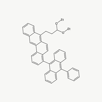 CCOC(CCc1c2ccccc2cc2c1ccc1c(-c3c4ccccc4c(-c4ccccc4)c4ccccc34)cccc12)OCC